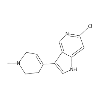 CN1CC=C(c2c[nH]c3cc(Cl)ncc23)CC1